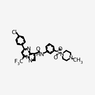 CN1CCN(S(=O)(=O)c2cccc(NC(=O)c3cnn4c(C(F)(F)F)cc(-c5ccc(Cl)cc5)nc34)c2)CC1